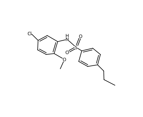 CCCc1ccc(S(=O)(=O)Nc2cc(Cl)ccc2OC)cc1